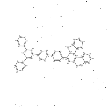 c1ccc(-c2nc(-c3ccccc3)nc(-c3ccc(-c4ccc(-c5nc6ccc7ccccc7c6c6c5oc5ccccc56)cc4)cc3)n2)cc1